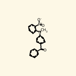 CN(c1ccc(C(=O)c2ccccc2)cc1)c1ccccc1[N+](=O)[O-]